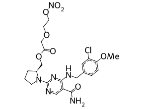 COc1ccc(CNc2nc(N3CCC[C@H]3COC(=O)COCCO[N+](=O)[O-])ncc2C(N)=O)cc1Cl